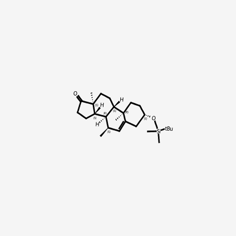 C[C@@H]1C=C2C[C@@H](O[Si](C)(C)C(C)(C)C)CC[C@]2(C)[C@H]2CC[C@]3(C)C(=O)CC[C@H]3[C@H]12